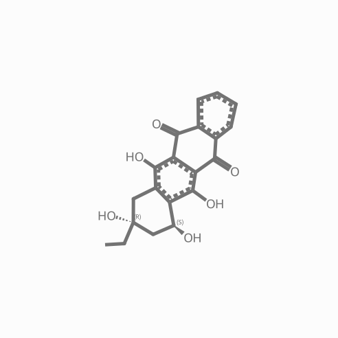 CC[C@@]1(O)Cc2c(O)c3c(c(O)c2[C@@H](O)C1)C(=O)c1ccccc1C3=O